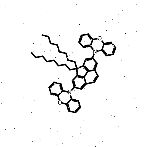 CCCCCCCCC1(CCCCCCCC)c2cc(N3c4ccccc4Oc4ccccc43)cc3ccc4cc(N5c6ccccc6Oc6ccccc65)cc1c4c23